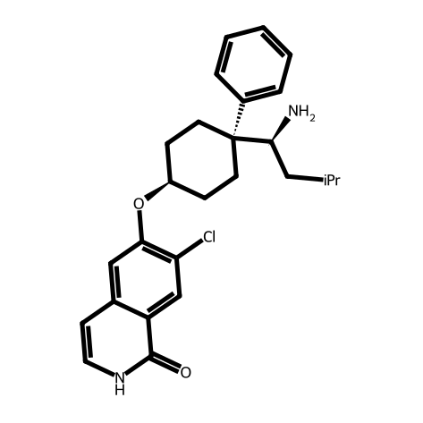 CC(C)C[C@H](N)[C@]1(c2ccccc2)CC[C@H](Oc2cc3cc[nH]c(=O)c3cc2Cl)CC1